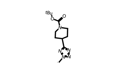 [CH2]n1nnc(C2CCN(C(=O)OC(C)(C)C)CC2)n1